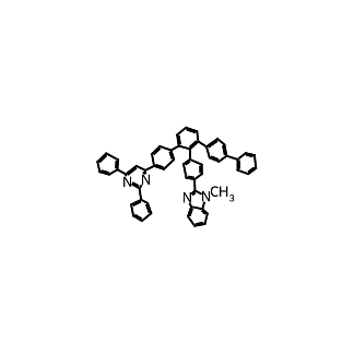 Cn1c(-c2ccc(-c3c(-c4ccc(-c5ccccc5)cc4)cccc3-c3ccc(-c4cc(-c5ccccc5)nc(-c5ccccc5)n4)cc3)cc2)nc2ccccc21